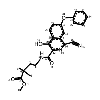 COC(=O)C(C)(C)CCNC(=O)c1nc(C#N)c2cc(Oc3ccccc3)ccc2c1O